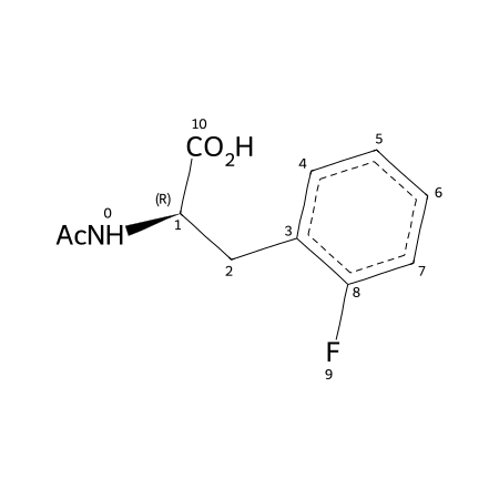 CC(=O)N[C@H](Cc1ccccc1F)C(=O)O